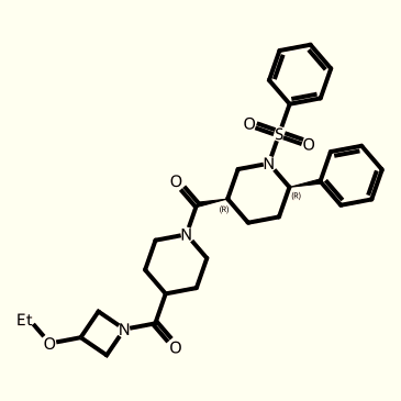 CCOC1CN(C(=O)C2CCN(C(=O)[C@@H]3CC[C@H](c4ccccc4)N(S(=O)(=O)c4ccccc4)C3)CC2)C1